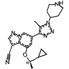 Cc1c(-c2cc(O[C@H](C)C3CC3)c3c(C#N)cnn3c2)nnn1C1CCNCC1